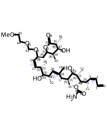 C=C/C=C\[C@H](C)[C@H](OC(N)=O)[C@@H](C)[C@H](O)[C@@H](C)C/C(C)=C\[C@H](C)[C@@H](O)[C@@H](C)/C=C\[C@H](CC1OC(=O)[C@H](C)[C@@H](O)[C@H]1C)OCOCCOC